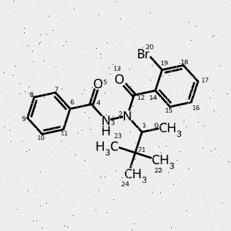 CC(N(NC(=O)c1ccccc1)C(=O)c1ccccc1Br)C(C)(C)C